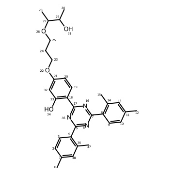 Cc1ccc(-c2nc(-c3ccc(C)cc3C)nc(-c3ccc(OCCCOC(C)C(C)O)cc3O)n2)c(C)c1